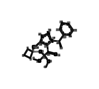 COC(OC)(OC1CCC1)C(=O)c1c(Cl)nnn1[C@H](C)c1ccccc1